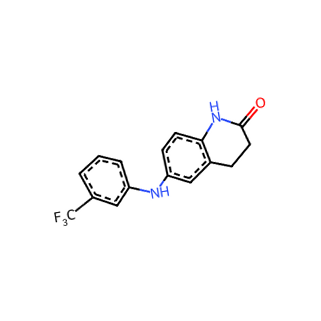 O=C1CCc2cc(Nc3cccc(C(F)(F)F)c3)ccc2N1